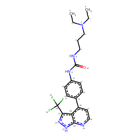 CCN(CC)CCCNC(=O)Nc1ccc(-c2ccnc3[nH]nc(C(F)(F)F)c23)cc1